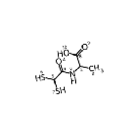 CC(NC(=O)C(S)S)C(=O)O